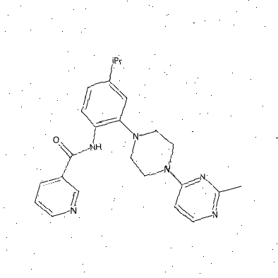 Cc1nccc(N2CCN(c3cc(C(C)C)ccc3NC(=O)c3cccnc3)CC2)n1